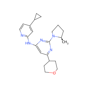 C[C@@H]1CCCN1c1nc(Nc2cc(C3CC3)ccn2)cc(C2CCOCC2)n1